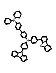 c1ccc(N(c2ccccc2)c2ccc(-c3ccc(N(c4ccc(-c5cccc6c5oc5ccccc56)cc4)c4ccc(-n5c6ccccc6c6ccccc65)cc4)cc3)cc2)cc1